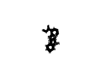 CCC(C)c1cccn2c1nc1c3ccccc3[nH]c12